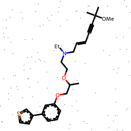 CCN(CC=CC#CC(C)(C)OC)CCOC(C)COc1cccc(-c2ccsc2)c1